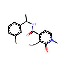 COc1c(C(=O)NC(C)c2cccc(Br)c2)ccn(C)c1=O